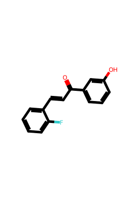 O=C(C=Cc1ccccc1F)c1cccc(O)c1